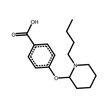 CCCCN1CCCCC1Oc1ccc(C(=O)O)cc1